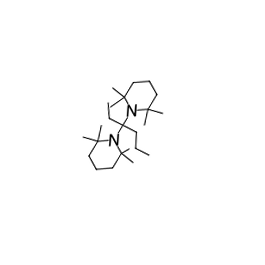 CCCC(CC)(N1C(C)(C)CCCC1(C)C)N1C(C)(C)CCCC1(C)C